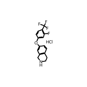 Cl.Fc1cc(Oc2ccc3c(c2)CNCC3)ccc1C(F)(F)F